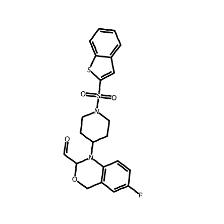 O=CC1OCc2cc(F)ccc2N1C1CCN(S(=O)(=O)c2cc3ccccc3s2)CC1